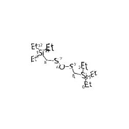 CC[Si](CC)(CC)CSOSC[Si](CC)(CC)CC